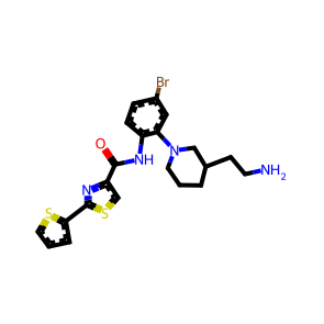 NCCC1CCCN(c2cc(Br)ccc2NC(=O)c2csc(-c3cccs3)n2)C1